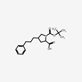 CC(C)(C)OC(=O)N1CC(CCCc2ccccc2)CC1C(=O)O